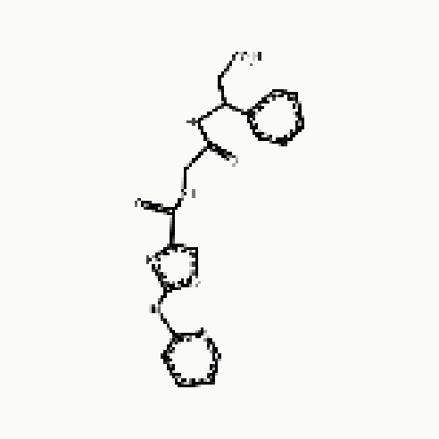 O=C(O)CC(NC(=O)CNC(=O)c1csc(Nc2ccccn2)n1)c1ccccc1